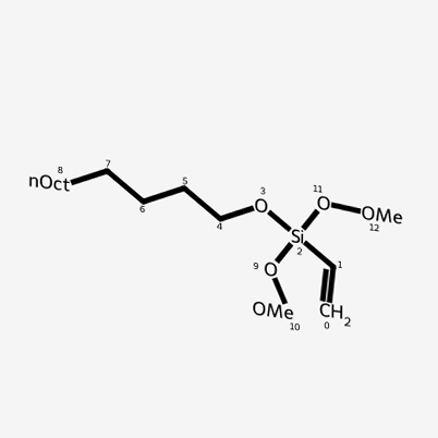 C=C[Si](OCCCCCCCCCCCC)(OOC)OOC